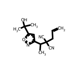 C=CCC(C#N)(C#N)C(C)c1cc(C(C)(C)O)on1